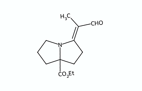 CCOC(=O)C12CCCN1C(=C(C)C=O)CC2